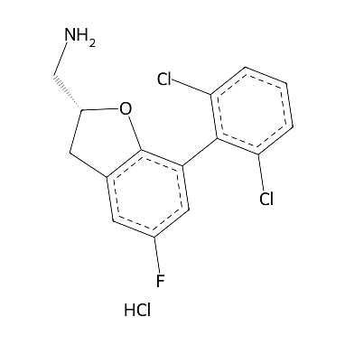 Cl.NC[C@H]1Cc2cc(F)cc(-c3c(Cl)cccc3Cl)c2O1